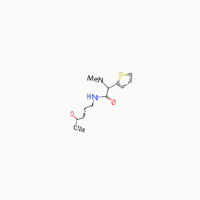 CNC(C(=O)NC/C=C/C(=O)OC)c1cccs1